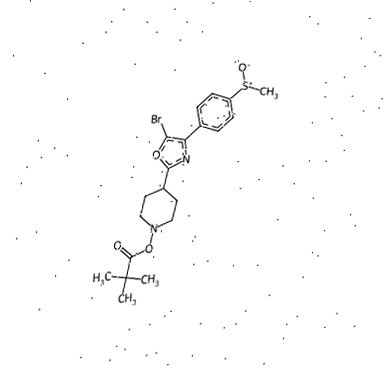 C[S+]([O-])c1ccc(-c2nc(C3CCN(OC(=O)C(C)(C)C)CC3)oc2Br)cc1